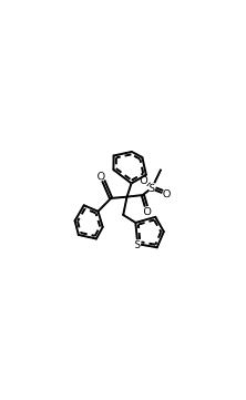 CS(=O)(=O)C(=O)C(Cc1cccs1)(C(=O)c1ccccc1)c1ccccc1